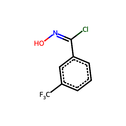 O/N=C(/Cl)c1cccc(C(F)(F)F)c1